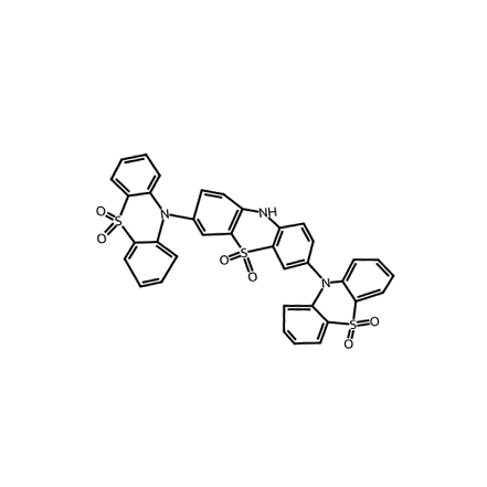 O=S1(=O)c2cc(N3c4ccccc4S(=O)(=O)c4ccccc43)ccc2Nc2ccc(N3c4ccccc4S(=O)(=O)c4ccccc43)cc21